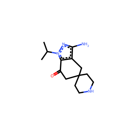 CC(C)n1nc(N)c2c1C(=O)CC1(CCNCC1)C2